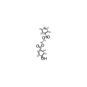 O=C(OCCOC(=O)c1ccc(O)cc1)c1ccccc1